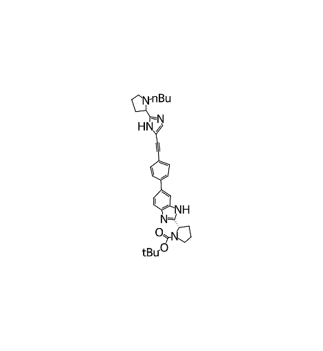 CCCCN1CCCC1c1ncc(C#Cc2ccc(-c3ccc4nc([C@@H]5CCCN5C(=O)OC(C)(C)C)[nH]c4c3)cc2)[nH]1